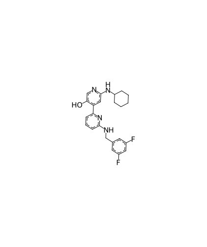 Oc1cnc(NC2CCCCC2)cc1-c1cccc(NCc2cc(F)cc(F)c2)n1